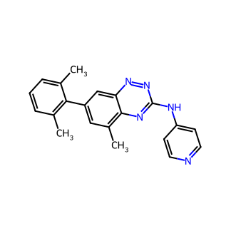 Cc1cccc(C)c1-c1cc(C)c2nc(Nc3ccncc3)nnc2c1